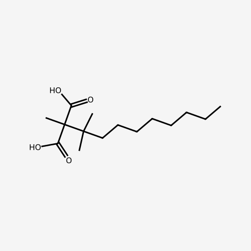 CCCCCCCCC(C)(C)C(C)(C(=O)O)C(=O)O